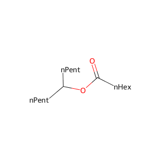 CCCCCCC(=O)OC(CCCCC)CCCCC